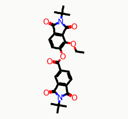 CCOc1c(OC(=O)c2ccc3c(c2)C(=O)N(C(C)(C)C)C3=O)ccc2c1C(=O)N(C(C)(C)C)C2=O